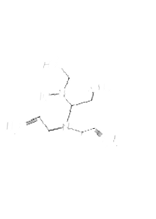 C=CCN(CC=C)C(CC)N(O)CC